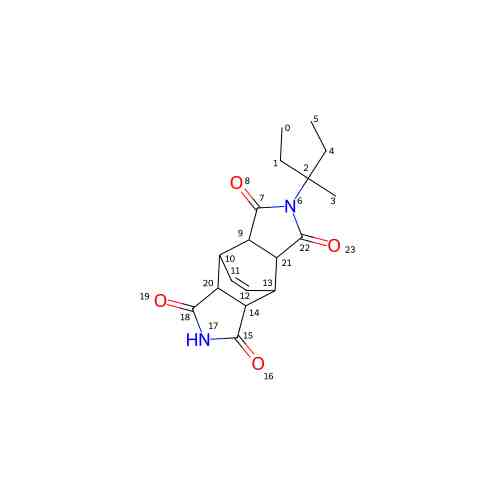 CCC(C)(CC)N1C(=O)C2C3C=CC(C4C(=O)NC(=O)C34)C2C1=O